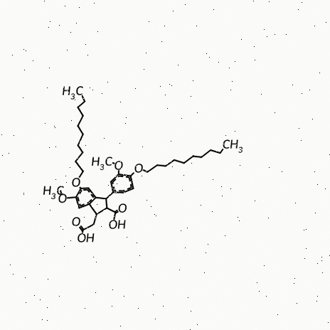 CCCCCCCCCCOc1ccc(C2c3cc(OCCCCCCCCCC)c(OC)cc3C(CC(=O)O)C2C(=O)O)cc1OC